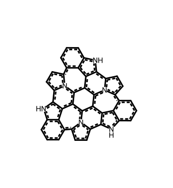 c1cc2[nH]c3c4c2c(c1)c1ccc2c5[nH]c6cccc7c6c5c5c(c4c4c6c8c([nH]c9cccc(c98)c8ccc3n84)c3ccc7n3c56)n12